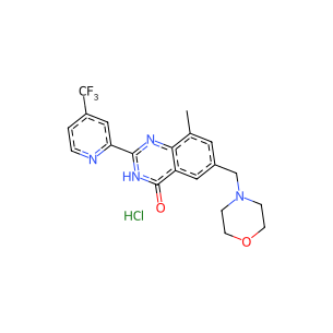 Cc1cc(CN2CCOCC2)cc2c(=O)[nH]c(-c3cc(C(F)(F)F)ccn3)nc12.Cl